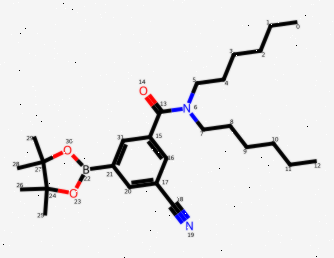 CCCCCCN(CCCCCC)C(=O)c1cc(C#N)cc(B2OC(C)(C)C(C)(C)O2)c1